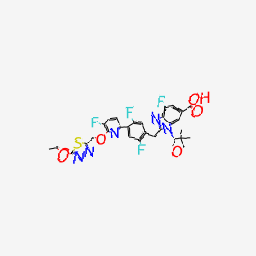 CCOc1nnc(COc2nc(-c3cc(F)c(Cc4nc5c(F)cc(C(=O)O)cc5n4[C@@H]4COCC4(C)C)cc3F)ccc2F)s1